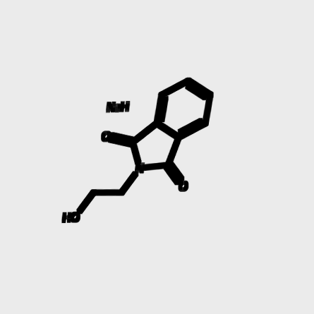 O=C1c2ccccc2C(=O)N1CCO.[NaH]